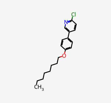 CCCCCCCCOc1ccc(-c2ccc(Cl)nc2)cc1